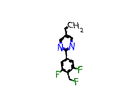 C=Cc1cnc(-c2cc(F)c(CF)c(F)c2)nc1